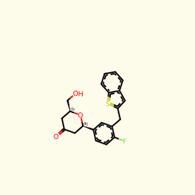 O=C1C[C@@H](CO)O[C@@H](c2ccc(F)c(Cc3cc4ccccc4s3)c2)C1